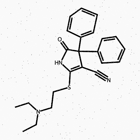 CCN(CC)CCSC1=C(C#N)C(c2ccccc2)(c2ccccc2)C(=O)N1